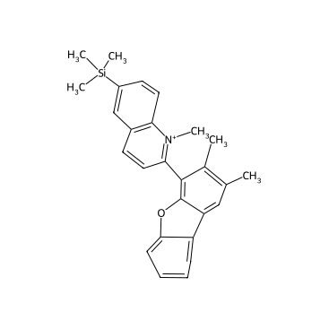 Cc1cc2c(oc3ccccc32)c(-c2ccc3cc([Si](C)(C)C)ccc3[n+]2C)c1C